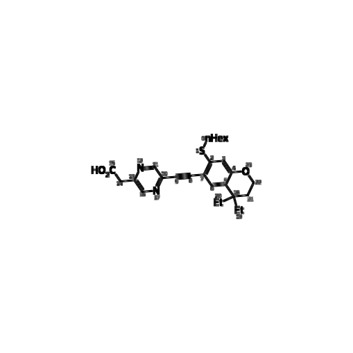 CCCCCCSc1cc2c(cc1C#Cc1cnc(CC(=O)O)cn1)C(CC)(CC)CCO2